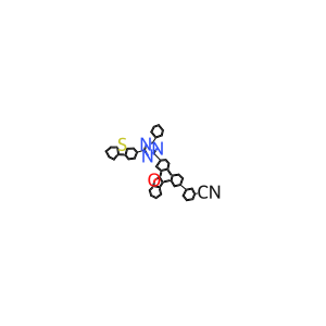 N#Cc1cccc(-c2ccc3c4ccc(-c5nc(-c6ccccc6)nc(-c6ccc7c(c6)sc6ccccc67)n5)cc4c4oc5ccccc5c4c3c2)c1